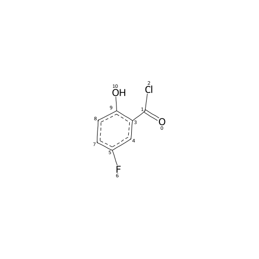 O=C(Cl)c1cc(F)ccc1O